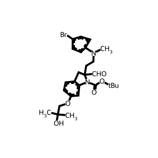 CN(CCC1(C=O)Cc2ccc(OCC(C)(C)O)cc2N1C(=O)OC(C)(C)C)c1ccc(Br)cc1